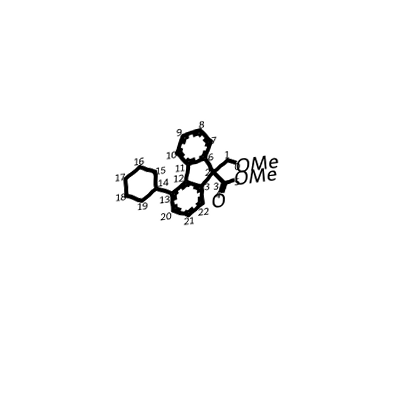 COCC1(C(=O)OC)c2ccccc2-c2c(C3CCCCC3)cccc21